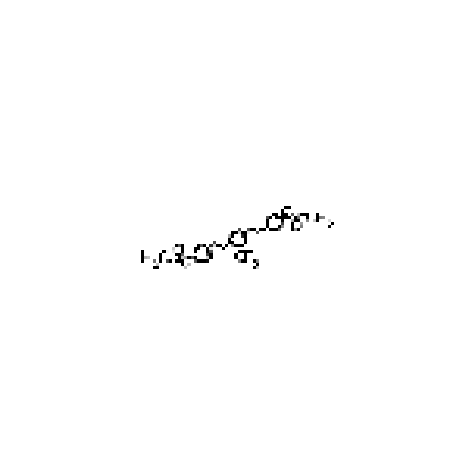 C=CC(=O)Oc1ccc(CCc2ccc(CCc3ccc(OC(=O)C=C)cc3)c(C(F)(F)F)c2)cc1